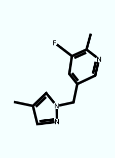 Cc1cnn(Cc2cnc(C)c(F)c2)c1